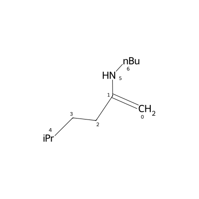 C=C(CCC(C)C)NCCCC